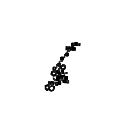 C[C@@H](C(=O)N[C@H](C(=O)N1Cc2cc(OCCOCCOCCOCCNC(=O)OC(C)(C)C)ccc2C[C@H]1C(=O)N[C@@H]1CCCc2ccccc21)C(C)(C)C)N(C)C(=O)OCc1ccccc1